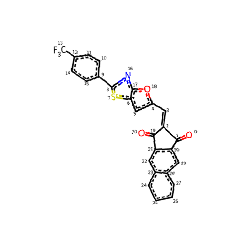 O=C1C(=Cc2cc3sc(-c4ccc(C(F)(F)F)cc4)nc3o2)C(=O)c2cc3ccccc3cc21